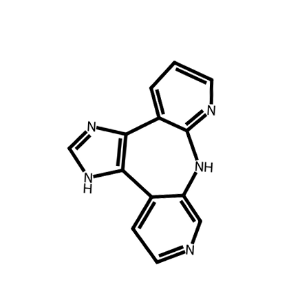 c1cnc2c(c1)-c1nc[nH]c1-c1ccncc1N2